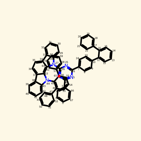 c1ccc(-c2nc(-c3ccc(-c4ccccc4-c4ccccc4)cc3)nc(-n3c4ccccc4c4ccc5c6ccccc6n(-c6c(-c7ccccc7)cccc6-c6ccccc6)c5c43)n2)cc1